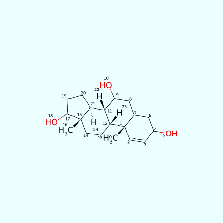 C[C@]12C=CC(O)CC1CC(O)[C@@H]1[C@H]2CC[C@]2(C)C(O)CC[C@@H]12